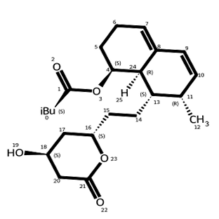 CC[C@H](C)C(=O)O[C@H]1CCC=C2C=C[C@H](C)[C@H](CC[C@H]3C[C@H](O)CC(=O)O3)[C@H]21